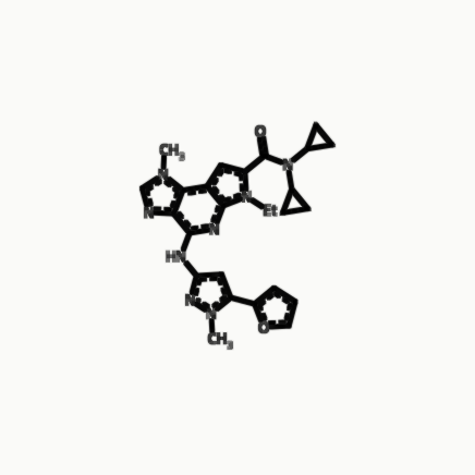 CCn1c(C(=O)N(C2CC2)C2CC2)cc2c3c(ncn3C)c(Nc3cc(-c4ccco4)n(C)n3)nc21